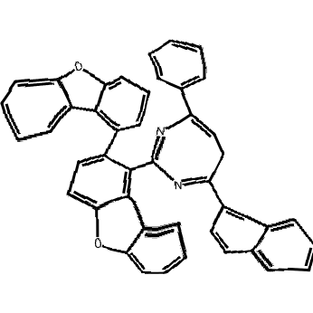 C1=C(c2ccccc2)N=C(c2c(-c3cccc4oc5ccccc5c34)ccc3oc4ccccc4c23)N=C(c2ccc3ccccc3c2)C1